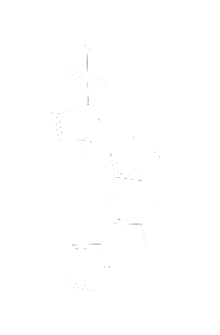 C[N+]1(c2n[nH]c3cc(Cl)c(-c4ccccc4)cc23)C=NC(S(N)(=O)=O)=C1